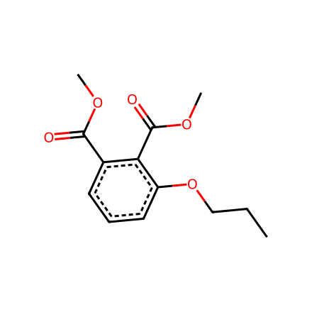 CCCOc1cccc(C(=O)OC)c1C(=O)OC